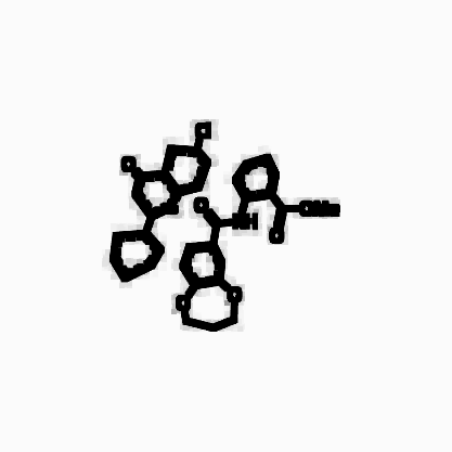 COC(=O)c1ccccc1NC(=O)c1ccc2c(c1)OCCCO2.O=c1cc(-c2ccccc2)sc2ccc(Cl)cc12